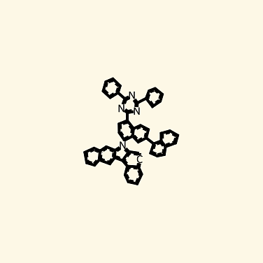 c1ccc(-c2nc(-c3ccccc3)nc(-c3ccc(-n4c5cc6ccccc6cc5c5c6ccccc6ccc54)c4cc(-c5cccc6ccccc56)ccc34)n2)cc1